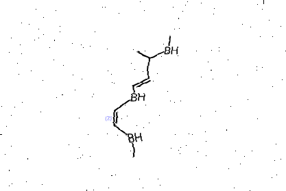 CB/C=C\BC=CC(C)BC